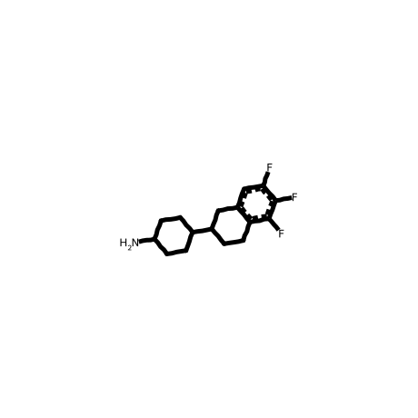 NC1CCC(C2CCc3c(cc(F)c(F)c3F)C2)CC1